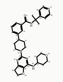 CC(C)(NC(=O)c1cccc(C2CCN(c3nc4c(c(NC5CCOCC5)n3)OCC4)CC2)c1)c1ccncc1